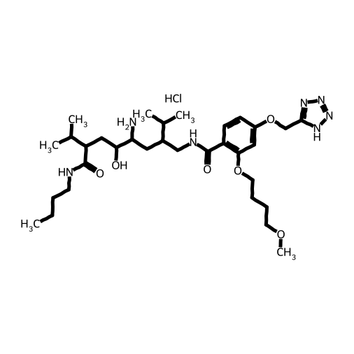 CCCCNC(=O)C(CC(O)C(N)CC(CNC(=O)c1ccc(OCc2nnn[nH]2)cc1OCCCCOC)C(C)C)C(C)C.Cl